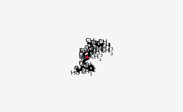 CCC(C)[C@H](NC(=O)[C@@H](NC)C(C)C)C(=O)N(C)[C@H](CC(OC)c1nc(C(=O)N[C@@H](Cc2ccccc2)C[C@H](C)C(=O)O)cs1)C(C)C